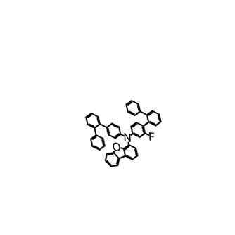 Fc1cc(N(c2ccc(-c3ccccc3-c3ccccc3)cc2)c2cccc3c2oc2ccccc23)ccc1-c1ccccc1-c1ccccc1